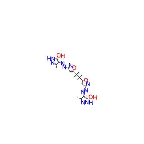 Cc1n[nH]c(O)c1/N=N/c1cc(C(C)(C)C(C)(C)c2cc(/N=N/c3c(C)n[nH]c3O)no2)on1